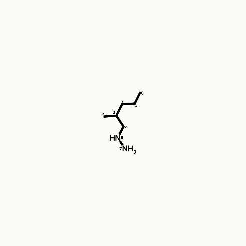 CCCC(C)CNN